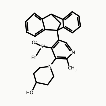 CC[S+]([O-])c1c(C23CC(c4ccccc42)c2ccccc23)cnc(C)c1N1CCC(O)CC1